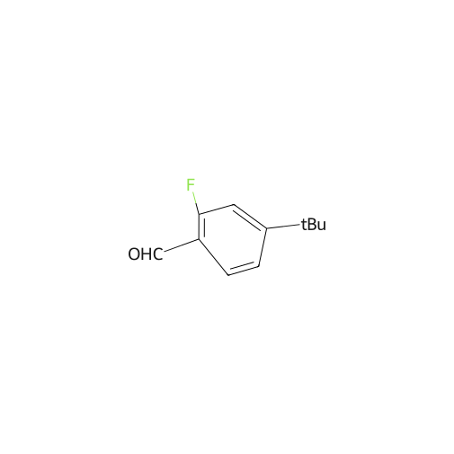 CC(C)(C)c1ccc(C=O)c(F)c1